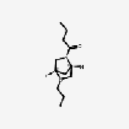 CCCC(=O)N1C[C@@H]2C[C@H]1CN2CCC